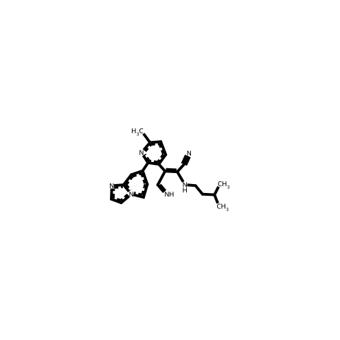 Cc1ccc(/C(C=N)=C(\C#N)NCCC(C)C)c(-c2ccn3ccnc3c2)n1